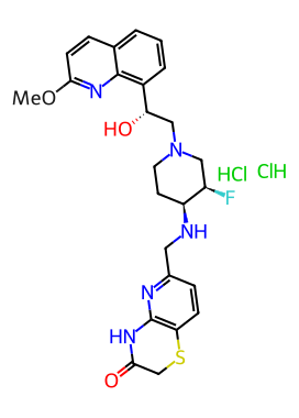 COc1ccc2cccc([C@@H](O)CN3CC[C@H](NCc4ccc5c(n4)NC(=O)CS5)[C@H](F)C3)c2n1.Cl.Cl